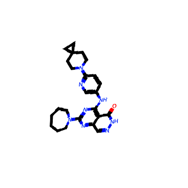 O=c1[nH]ncc2nc(N3CCCCCC3)nc(Nc3ccc(N4CCC5(CC4)CC5)nc3)c12